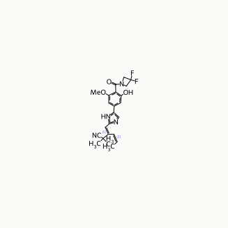 C/C=C\C(=C/c1ncc(-c2cc(O)c(C(=O)N3CC(F)(F)C3)c(OC)c2)[nH]1)C(C)(C)C#N